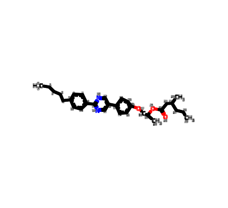 CCCCCc1ccc(-c2ncc(-c3ccc(OCC(C)OC(=O)CC(C)CCC)cc3)cn2)cc1